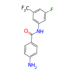 Nc1ccc(C(=O)Nc2cc(F)cc(C(F)(F)F)c2)cc1